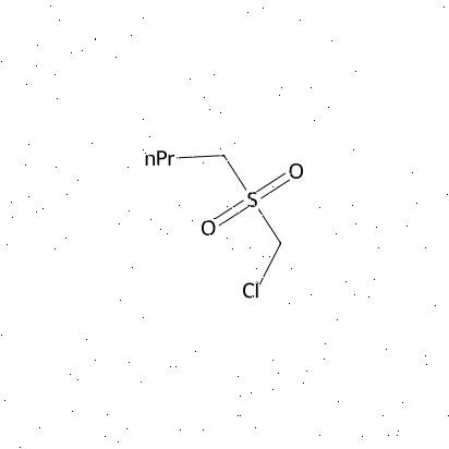 CCCCS(=O)(=O)CCl